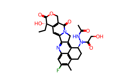 CC[C@@]1(O)C(=O)OCc2c1cc1n(c2=O)Cc2c-1nc1cc(F)c(C)c3c1c2[C@@H](N(NC(C)=O)C(=O)CO)CC3